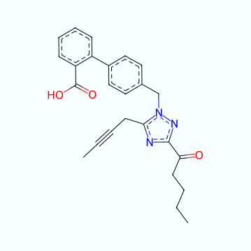 CC#CCc1nc(C(=O)CCCC)nn1Cc1ccc(-c2ccccc2C(=O)O)cc1